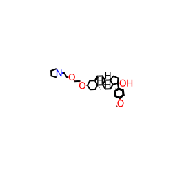 COc1ccc([C@]2(O)CC[C@H]3[C@@H]4CC=C5C[C@@H](OCCOCCN6CCCC6)CC[C@]5(C)[C@H]4CC[C@@]32C)cc1